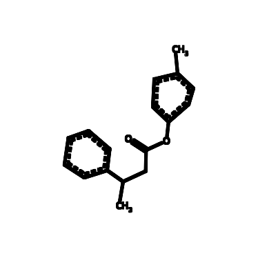 Cc1ccc(OC(=O)CC(C)c2ccccc2)cc1